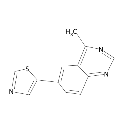 Cc1ncnc2ccc(-c3cncs3)cc12